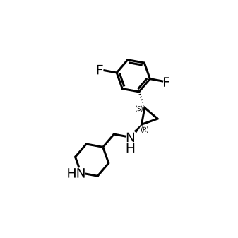 Fc1ccc(F)c([C@@H]2C[C@H]2NCC2CCNCC2)c1